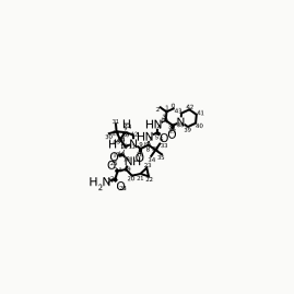 CC(C)[C@H](NC(=O)N[C@H](C(=O)N1C[C@H]2[C@@H]([C@H]1C(=O)NC(CC1CC1)C(=O)C(N)=O)C2(C)C)C(C)(C)C)C(=O)N1CCCCC1